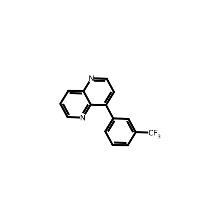 FC(F)(F)c1cccc(-c2ccnc3cccnc23)c1